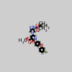 COC(=O)c1cc(N2CCC(NC(=O)OC(C)(C)C)C2)cnc1Oc1ccc(Oc2cccc(F)c2)cc1